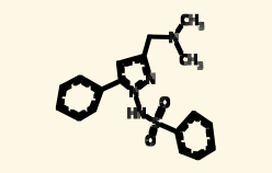 CN(C)Cc1cc(-c2ccccc2)n(NS(=O)(=O)c2ccccc2)n1